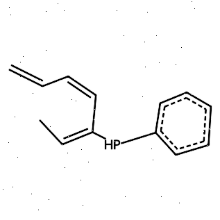 C=C/C=C\C(=C/C)Pc1ccccc1